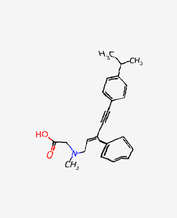 CC(C)c1ccc(C#C/C(=C/CN(C)CC(=O)O)c2ccccc2)cc1